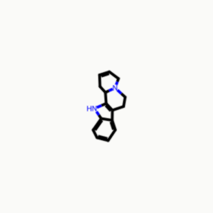 C1=CCN2CCc3c([nH]c4ccccc34)C2C1